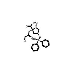 COC(=O)[C@@]1(CC(=O)CCl)C[C@H](O[Si](c2ccccc2)(c2ccccc2)C(C)(C)C)CN1